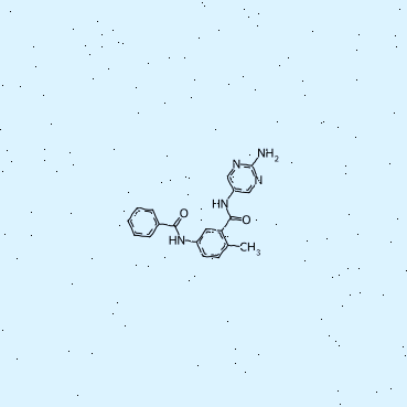 Cc1ccc(NC(=O)c2ccccc2)cc1C(=O)Nc1cnc(N)nc1